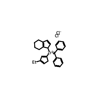 CCC1=CC[C]([Zr+2](=[C](c2ccccc2)c2ccccc2)[CH]2C=CC3=C2CCCC3)=C1.[Cl-].[Cl-]